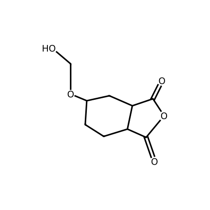 O=C1OC(=O)C2CC(OCO)CCC12